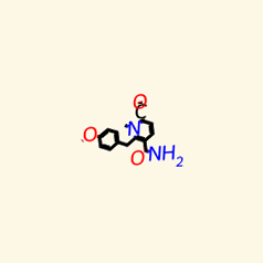 COc1ccc(CC2=C(C(N)=O)C=CC(=C=O)N2C)cc1